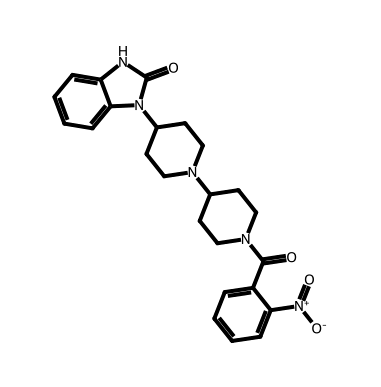 O=C(c1ccccc1[N+](=O)[O-])N1CCC(N2CCC(n3c(=O)[nH]c4ccccc43)CC2)CC1